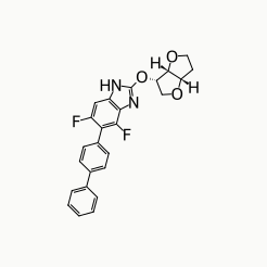 Fc1cc2[nH]c(O[C@H]3CO[C@H]4CCO[C@H]43)nc2c(F)c1-c1ccc(-c2ccccc2)cc1